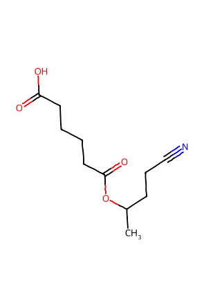 CC(CCC#N)OC(=O)CCCCC(=O)O